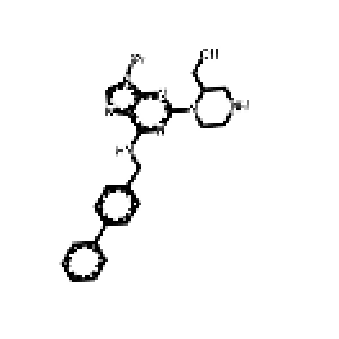 CC(C)n1cnc2c(NCc3ccc(-c4ccccc4)cc3)nc(N3CCNCC3CO)nc21